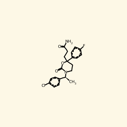 C[C@@H](c1ccc(Cl)cc1)N1CCC(CCC(N)=O)(c2ccc(F)cc2)OC1=O